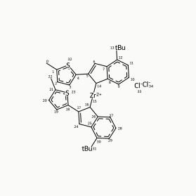 Cc1ccc(C2=Cc3c(cccc3C(C)(C)C)[CH]2[Zr+2][CH]2C(c3ccc(C)s3)=Cc3c2cccc3C(C)(C)C)s1.[Cl-].[Cl-]